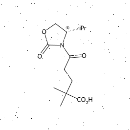 CC(C)[C@H]1COC(=O)N1C(=O)CCC(C)(C)C(=O)O